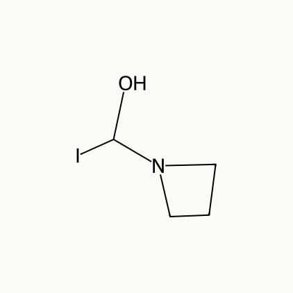 OC(I)N1CCC1